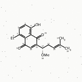 CCc1ccc(O)c2c1C(=O)C=C([C@H](CC=C(C)C)OC)C2=O